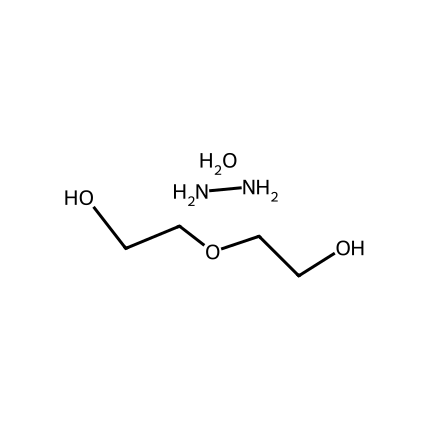 NN.O.OCCOCCO